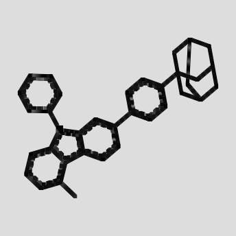 Cc1cccc2c1c1ccc(-c3ccc(C45CC6CC(CC(C6)C4)C5)cc3)cc1n2-c1ccccc1